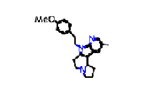 COc1ccc(CCn2c3c(c4cc(C)cnc42)C2CCCN2CC3)cc1